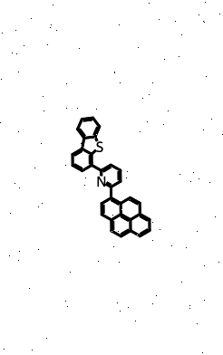 c1cc(-c2ccc3ccc4cccc5ccc2c3c45)nc(-c2cccc3c2sc2ccccc23)c1